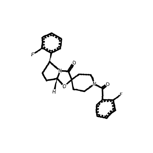 O=C(c1ccccc1F)N1CCC2(CC1)O[C@@H]1CC[C@@H](c3ccccc3F)N1C2=O